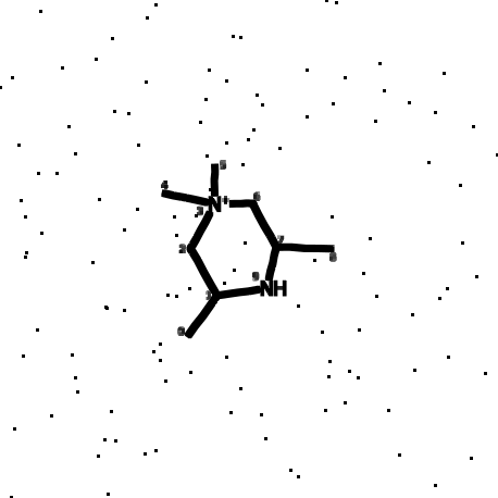 CC1C[N+](C)(C)CC(C)N1